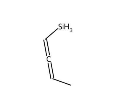 CC=C=C[SiH3]